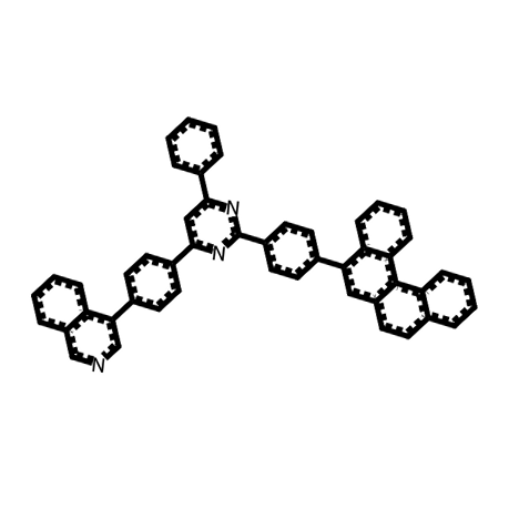 c1ccc(-c2cc(-c3ccc(-c4cncc5ccccc45)cc3)nc(-c3ccc(-c4cc5ccc6ccccc6c5c5ccccc45)cc3)n2)cc1